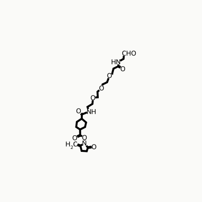 C=C1CCC(=O)N1OC(=O)C1CCC(C(=O)NCCOCCOCCOCCC(=O)NCC=O)CC1